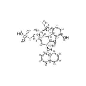 CCS(=O)(=O)O.CN1CC[C@]23c4c5ccc(O)c4O[C@H]2[C@@H](O)C=C[C@H]3[C@H]1C5.c1ccc2ncccc2c1